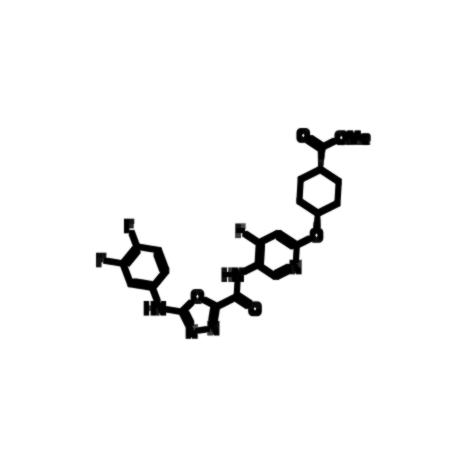 COC(=O)[C@H]1CC[C@@H](Oc2cc(F)c(NC(=O)c3nnc(Nc4ccc(F)c(F)c4)o3)cn2)CC1